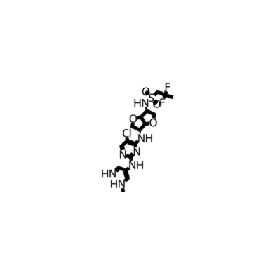 CN/C=C(\C=N)Nc1ncc(Cl)c(N[C@@H]2COC3C2OC[C@@H]3NS(=O)(=O)CC(C)(F)F)n1